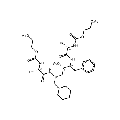 COCCOC(=O)N[C@H](C(=O)N[C@@H](Cc1ccccc1)[C@H](CN(CC1CCCCC1)NC(=O)[C@@H](NC(=O)OCCOC)C(C)C)OC(C)=O)C(C)C